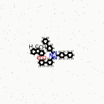 CC1(C)c2ccccc2-c2c1ccc1c2Oc2cccc(-c3cccc(-c4nc(-c5ccc(-c6ccccc6)cc5)nc(-c5ccc(-c6ccccc6)cc5)n4)c3)c2O1